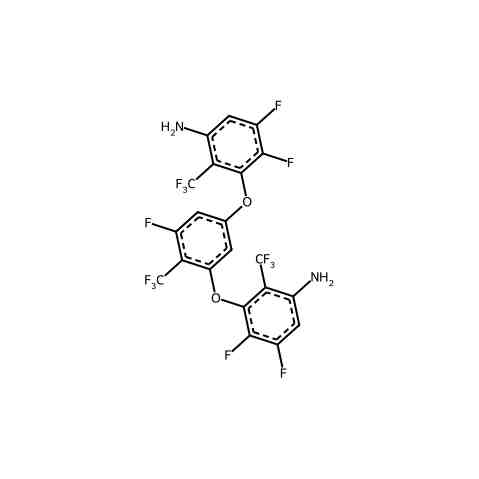 Nc1cc(F)c(F)c(Oc2cc(F)c(C(F)(F)F)c(Oc3c(F)c(F)cc(N)c3C(F)(F)F)c2)c1C(F)(F)F